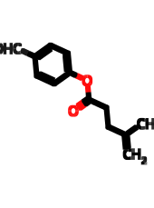 C=C(C)CCC(=O)Oc1ccc(C=O)cc1